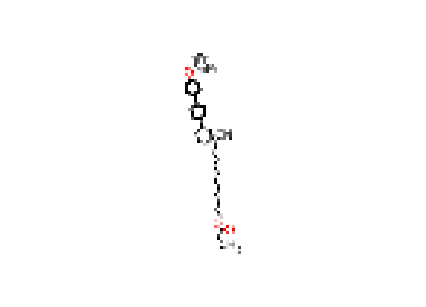 C=CC(=O)OCCCCCCCCCCCC1(C#N)CCCC(c2ccc(-c3ccc(OC(CCC)CCC)cc3)cc2)C1